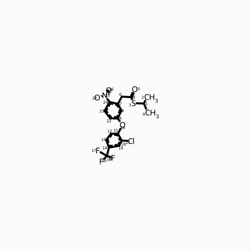 CC(C)SC(=O)Cc1cc(Oc2ccc(C(F)(F)F)cc2Cl)ccc1[N+](=O)[O-]